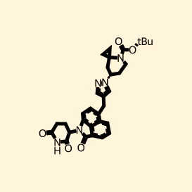 CC(C)(C)OC(=O)N1CC[C@@H](n2cc(Cc3ccc4c5c(cccc35)C(=O)N4C3CCC(=O)NC3=O)cn2)CC12CC2